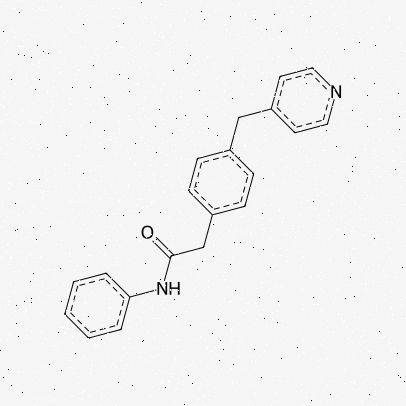 O=C(Cc1ccc(Cc2ccncc2)cc1)Nc1ccccc1